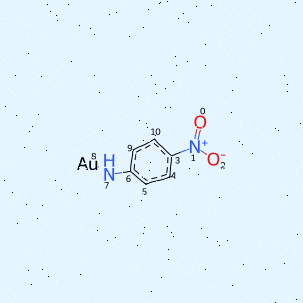 O=[N+]([O-])c1ccc([NH][Au])cc1